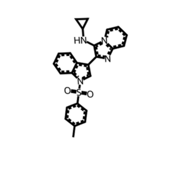 Cc1ccc(S(=O)(=O)n2cc(-c3nc4ccccn4c3NC3CC3)c3ccccc32)cc1